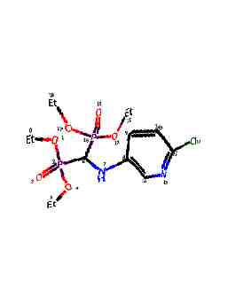 CCOP(=O)(OCC)C(Nc1ccc(Cl)nc1)P(=O)(OCC)OCC